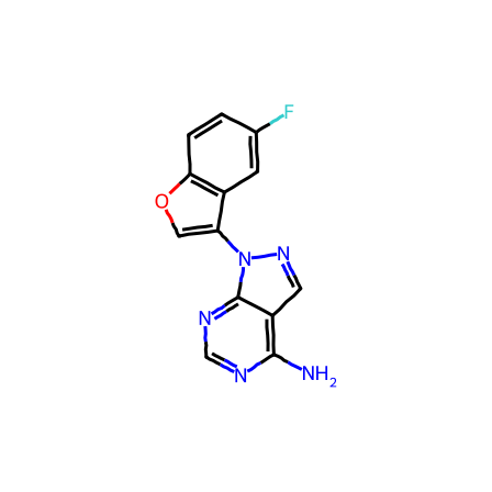 Nc1ncnc2c1cnn2-c1coc2ccc(F)cc12